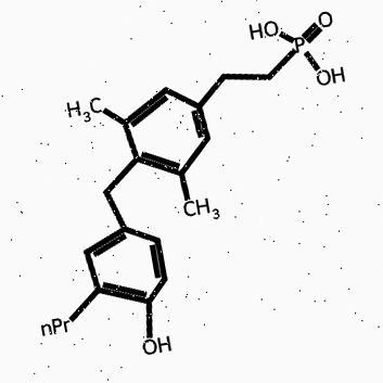 CCCc1cc(Cc2c(C)cc(CCP(=O)(O)O)cc2C)ccc1O